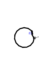 C[C@H]1/C=C/CCCCCCCCCCCC1